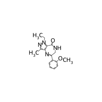 CCn1nc(C)c2c1C(=O)NCC(c1ccccc1OC)=N2